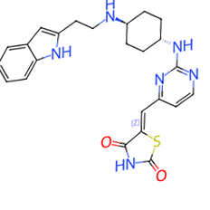 O=C1NC(=O)/C(=C/c2ccnc(N[C@H]3CC[C@H](NCCc4cc5ccccc5[nH]4)CC3)n2)S1